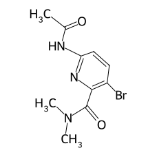 CC(=O)Nc1ccc(Br)c(C(=O)N(C)C)n1